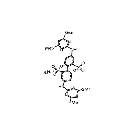 CSc1cc(SC)nc(Nc2ccc(-c3ccc(Nc4nc(SC)cc(SC)n4)cc3S(=O)(=O)[O-])c(S(=O)(=O)[O-])c2)n1.[Na+].[Na+]